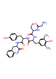 Cc1cc(CC(NC(=O)C(CC(C)C)NC(=O)CN)C(=O)NC(Cc2ccc(O)cc2)C(=O)NC(Cc2ccccc2)C(N)=O)cc(C)c1O